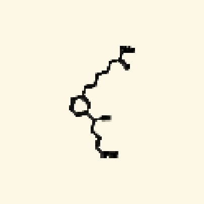 CCCCCC=CCC(O)c1cccc(C=CCCCC(=O)OC)c1